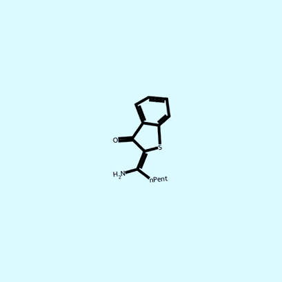 CCCCC/C(N)=C1\Sc2ccccc2C1=O